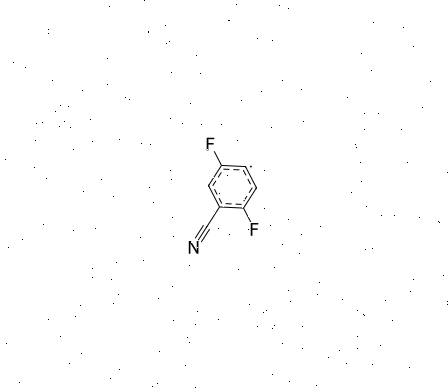 N#Cc1cc(F)[c]cc1F